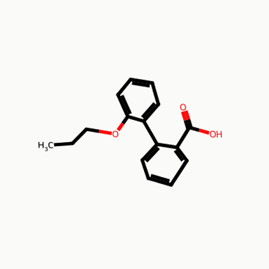 CCCOc1ccccc1-c1ccccc1C(=O)O